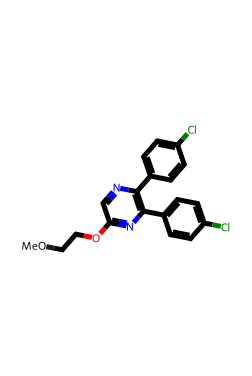 COCCOc1cnc(-c2ccc(Cl)cc2)c(-c2ccc(Cl)cc2)n1